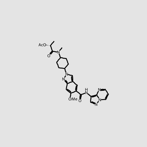 COc1cc2nn(C3CCC(N(C)C(=O)[C@@H](C)OC(C)=O)CC3)cc2cc1C(=O)Nc1cnn2cccnc12